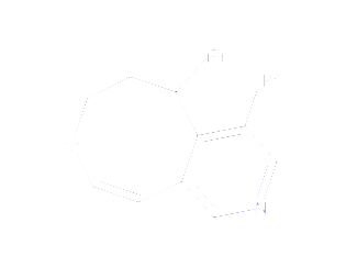 CC(C)c1cncc2c1C(C(C)C)CCO/C=C\2